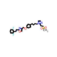 CS(=O)(=O)CCc1nccn1CCCCc1ccc(OCc2coc(/C=C/c3c(F)cccc3F)n2)cc1